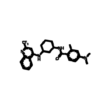 Cc1cc(N(C)C)ccc1C(=O)NC1CCCC(Nc2cc(C(F)(F)F)nc3ccccc23)C1